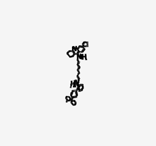 COC(=O)c1ccc(C(=O)NCCCCCCCCNc2c3c(nc4cc(Cl)ccc24)CCCC3)cc1